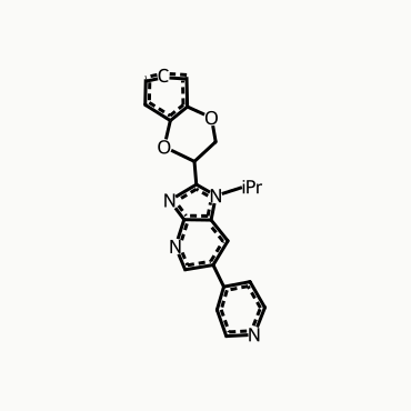 CC(C)n1c(C2COc3ccccc3O2)nc2ncc(-c3ccncc3)cc21